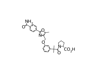 Cc1oc(-c2ccc(C(N)=O)cc2)nc1COc1cccc(C(C)(C)C(=O)N2CCCC2C(=O)O)c1